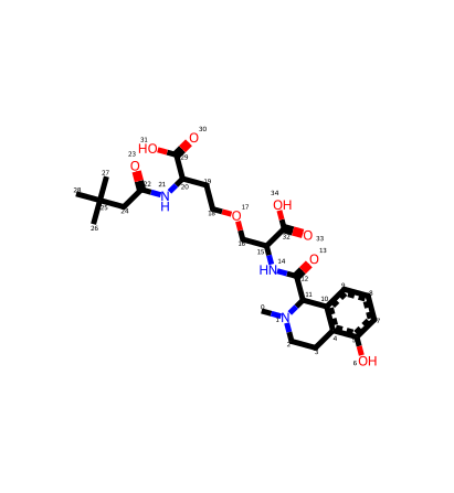 CN1CCc2c(O)cccc2C1C(=O)NC(COCCC(NC(=O)CC(C)(C)C)C(=O)O)C(=O)O